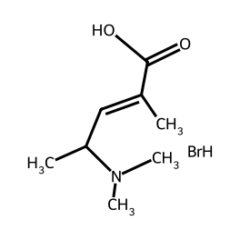 Br.CC(=CC(C)N(C)C)C(=O)O